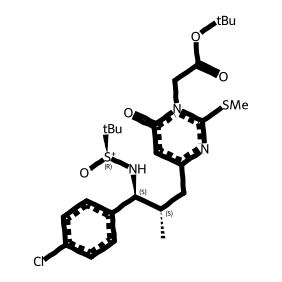 CSc1nc(C[C@H](C)[C@H](N[S@@+]([O-])C(C)(C)C)c2ccc(Cl)cc2)cc(=O)n1CC(=O)OC(C)(C)C